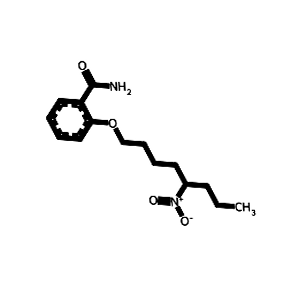 CCCC(CCCCOc1ccccc1C(N)=O)[N+](=O)[O-]